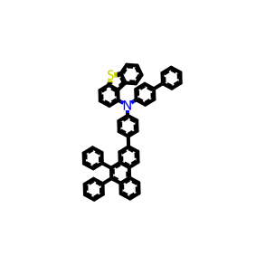 c1ccc(-c2ccc(N(c3ccc(-c4ccc5c(c4)c(-c4ccccc4)c(-c4ccccc4)c4ccccc45)cc3)c3cccc4sc5ccccc5c34)cc2)cc1